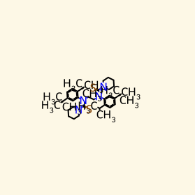 CC(C)c1ccc(C(C)(C)C)cc1N(CCN(C(=S)N1CCCCC1)c1cc(C(C)(C)C)ccc1C(C)(C)C)C(=S)N1CCCCC1